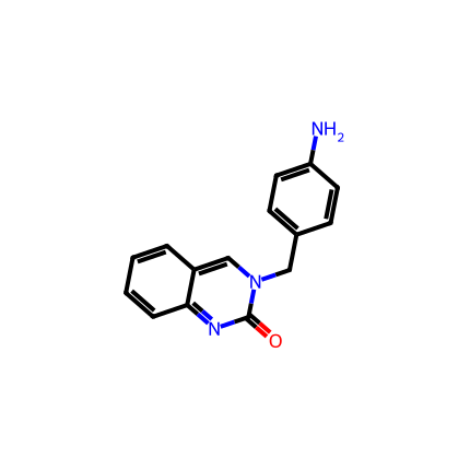 Nc1ccc(Cn2cc3ccccc3nc2=O)cc1